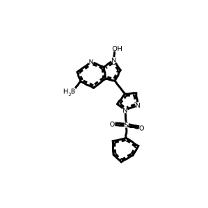 Bc1cnc2c(c1)c(-c1cnn(S(=O)(=O)c3ccccc3)c1)cn2O